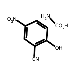 N#Cc1cc([N+](=O)[O-])ccc1O.NC(=O)O